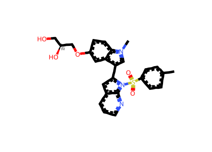 Cc1ccc(S(=O)(=O)n2c(-c3cn(C)c4ccc(OC[C@@H](O)CO)cc34)cc3cccnc32)cc1